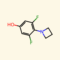 Oc1cc(F)c(N2CCC2)c(F)c1